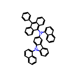 c1ccc(-c2c3ccccc3c(N(c3ccc4c(c3)c3ccccc3n4-c3cccc4ccccc34)c3cccc4ccccc34)c3ccccc23)cc1